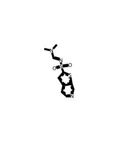 CN(C)C=NS(=O)(=O)c1cc2ccncc2s1